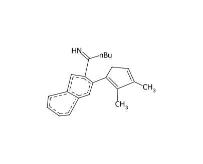 CCCCC(=N)c1cc2ccccc2cc1C1=C(C)C(C)=CC1